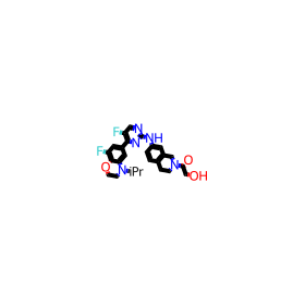 CC(C)N1CCOc2c(F)cc(-c3nc(Nc4ccc5c(c4)CN(C(=O)CO)CC5)ncc3F)cc21